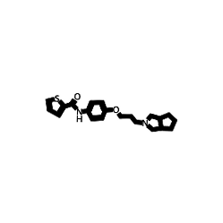 O=C(Nc1ccc(OCCCN2CC3CCCC3C2)cc1)c1cccs1